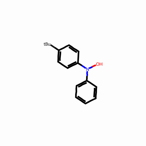 CC(C)(C)c1ccc(N(O)c2ccccc2)cc1